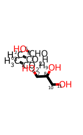 CC(=O)O.CC(=O)O.O=CO.OCC(O)CO